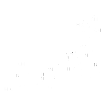 Cc1cc(CNC(=O)c2ccc([C@@H](C)[C@@]3(C)C(=O)N(COCC[Si](C)(C)C)c4ncccc43)cn2)cc(C)n1